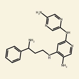 Nc1cnc(Nc2cc(NCCC(N)c3ccccc3)c(N)cn2)cn1